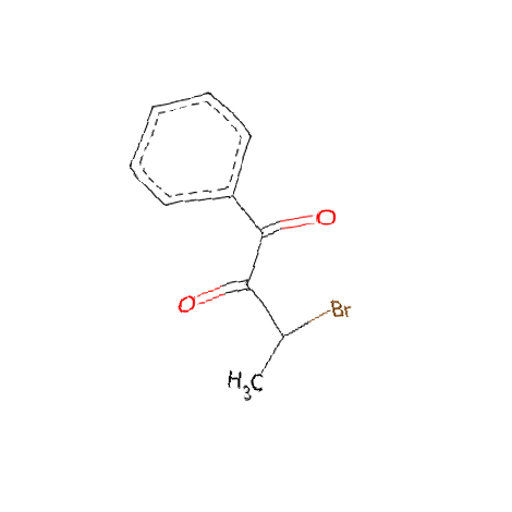 CC(Br)C(=O)C(=O)c1ccccc1